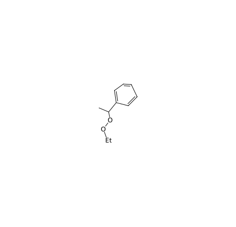 CCOOC(C)c1ccccc1